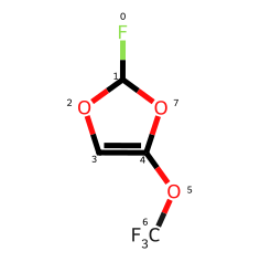 FC1OC=C(OC(F)(F)F)O1